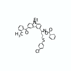 CCn1c2ccc(C(=O)c3ccccc3C)cc2c2cc(/C(CCCSc3ccc(Cl)cc3)=N/OC(=O)C3C=CC=CC3)ccc21